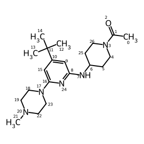 CC(=O)N1CCC(Nc2cc(C(C)(C)C)cc(N3CCN(C)CC3)n2)CC1